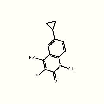 Cc1c(C(C)C)c(=O)n(C)c2ccc(C3CC3)cc12